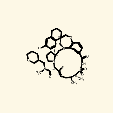 C[C@@H]1[C@@H](C)C/C=C(\F)[C@H](C(=O)N(C)CC2CCCOC2)N2CCC[C@H]2CN2C[C@@]3(CCCc4cc(Cl)ccc43)COc3ccc(cc32)C(=O)NS1(=O)=O